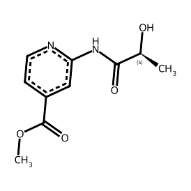 COC(=O)c1ccnc(NC(=O)[C@H](C)O)c1